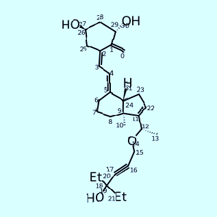 C=C1C(=CC=C2CCC[C@]3(C)C([C@H](C)OCC#CC(O)(CC)CC)=CC[C@@H]23)C[C@@H](O)C[C@@H]1O